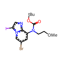 COCCN(C(=O)OC(C)(C)C)c1cc(Br)cn2c(I)cnc12